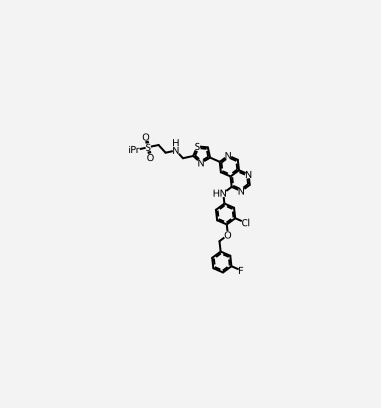 CC(C)S(=O)(=O)CCNCc1nc(-c2cc3c(Nc4ccc(OCc5cccc(F)c5)c(Cl)c4)ncnc3cn2)cs1